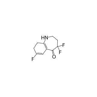 O=C1C2=C(CCC(F)=C2)NCCC1(F)F